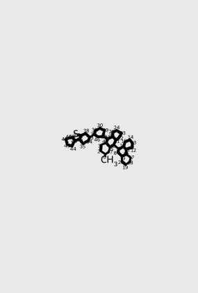 CC1C=Cc2c(c(-c3cc4c(c5ccccc35)CCC=C4)c3ccccc3c2-c2cccc(-c3ccc4c(c3)sc3ccccc34)c2)C1